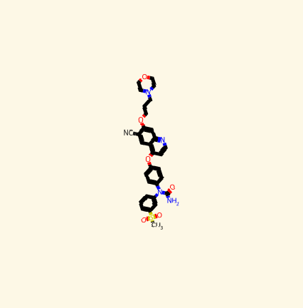 CS(=O)(=O)c1cccc(N(C(N)=O)c2ccc(Oc3ccnc4cc(OCCCN5CCOCC5)c(C#N)cc34)cc2)c1